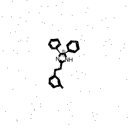 Cc1cccc(CCC2=N[C@@H](c3ccccc3)[C@@H](c3ccccc3)N2)c1